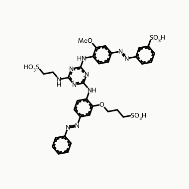 COc1cc(N=Nc2cccc(S(=O)(=O)O)c2)ccc1Nc1nc(NCCS(=O)(=O)O)nc(Nc2ccc(N=Nc3ccccc3)cc2OCCCS(=O)(=O)O)n1